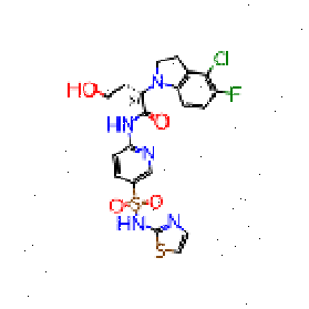 O=C(Nc1ccc(S(=O)(=O)Nc2nccs2)cn1)[C@H](CCO)N1CCc2c1ccc(F)c2Cl